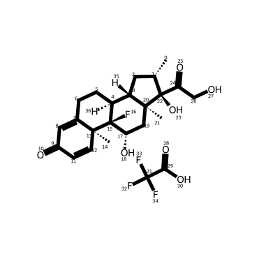 C[C@H]1C[C@H]2[C@@H]3CCC4=CC(=O)C=C[C@]4(C)[C@@]3(F)[C@@H](O)C[C@]2(C)[C@@]1(O)C(=O)CO.O=C(O)C(F)(F)F